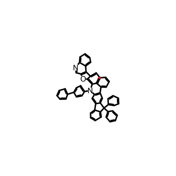 c1ccc(-c2ccc(N(c3cc4c(cc3-c3ccccc3)C(c3ccccc3)(c3ccccc3)c3ccccc3-4)c3cccc4c3oc3cnc5ccccc5c34)cc2)cc1